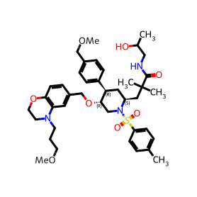 COCCCN1CCOc2ccc(CO[C@H]3CN(S(=O)(=O)c4ccc(C)cc4)[C@H](CC(C)(C)C(=O)NCC(C)O)C[C@@H]3c3ccc(COC)cc3)cc21